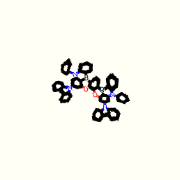 c1ccc(N2c3ccccc3B3c4ccc5c(c4Oc4cc(-n6c7ccccc7c7ccccc76)cc2c43)Oc2cc(-n3c4ccccc4c4ccccc43)cc3c2B5c2ccccc2N3c2ccccc2)cc1